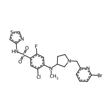 CN(c1cc(F)c(S(=O)(=O)Nc2cscn2)cc1Cl)C1CCN(Cc2cccc(Br)n2)C1